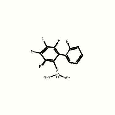 CCCPCCC.Fc1ccccc1-c1c(F)c(F)c(F)c(F)c1F